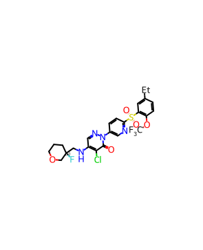 CCc1ccc(OC(F)(F)F)c(S(=O)(=O)c2ccc(-n3ncc(NC[C@@]4(F)CCCOC4)c(Cl)c3=O)cn2)c1